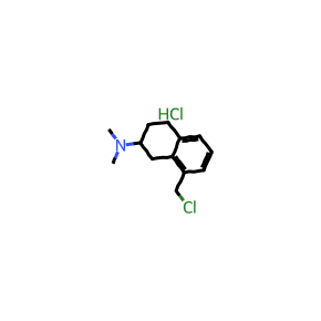 CN(C)C1CCc2cccc(CCl)c2C1.Cl